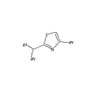 CCC(c1nc(C(C)C)cs1)C(C)C